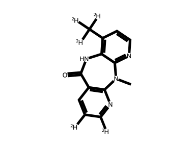 [2H]c1cc2c(nc1[2H])N(C)c1nccc(C([2H])([2H])[2H])c1NC2=O